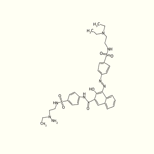 CCN(N)CCNS(=O)(=O)c1ccc(NC(=O)c2cc3ccccc3c(N=Nc3ccc(S(=O)(=O)NCCN(CC)CC)cc3)c2O)cc1